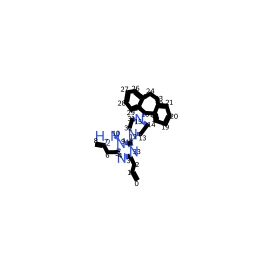 C=CCC1=NC(CC=C)N(N)C(N2CCN(C3c4ccccc4CCc4ccccc43)CC2)=N1